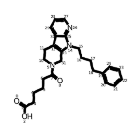 O=C(O)CCCCC(=O)N1CCc2c(n(CCCCc3ccccc3)c3ncccc23)C1